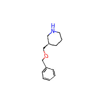 c1ccc(COC[C@@H]2CCCNC2)cc1